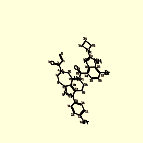 C=CC(=O)N1CCc2nn(-c3ccc(C(C)C)cc3)c3c2[C@@H](C1)N(C(=O)c1ccc(Br)c2[nH]c(N4CCC4)nc12)CC3